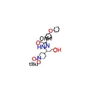 COC(=O)c1[nH]c(C(CCO)C2CCN(C(=O)OC(C)(C)C)CC2)nc1-c1ccc(Oc2ccccc2)cc1